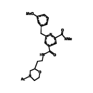 CNC(=O)c1cc(C(=O)NCCC2CN(C(C)=O)CCO2)cc(Cc2cccc(OC)c2)n1